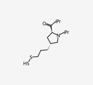 CC(C)C(=O)[C@@H]1C[C@@H](CCCSS)CN1C(C)C